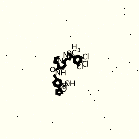 CC1(c2cc(Cl)c(Cl)c(Cl)c2)CC(c2ccc(C(=O)NCc3ccc4c(c3)B(O)OC43CCCC3)c3cccn23)=NO1